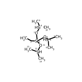 [CH2]C[Si](O[SiH](C)C)(O[SiH](C)C)O[SiH](C)C